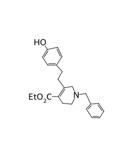 CCOC(=O)C1=C(CCc2ccc(O)cc2)CN(Cc2ccccc2)CC1